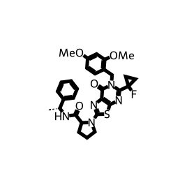 COc1ccc(Cn2c(C3(F)CC3)nc3sc(N4CCCC4C(=O)N[C@H](C)c4ccccc4)nc3c2=O)c(OC)c1